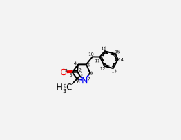 CC1C(=O)C2CCN1CC2Cc1ccccc1